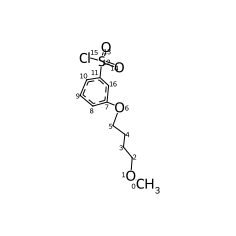 COCCCCOc1cccc(S(=O)(=O)Cl)c1